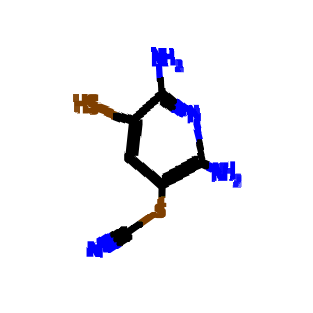 N#CSc1cc(S)c(N)nc1N